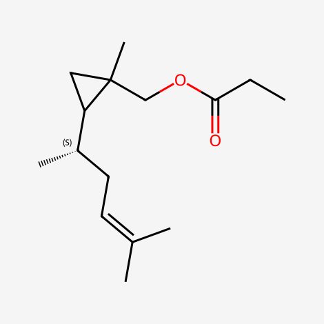 CCC(=O)OCC1(C)CC1[C@@H](C)CC=C(C)C